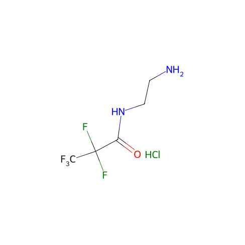 Cl.NCCNC(=O)C(F)(F)C(F)(F)F